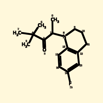 CC(C(=O)C(C)(C)C)N1CCCc2cc(F)ccc21